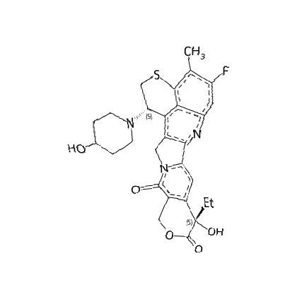 CC[C@@]1(O)C(=O)OCc2c1cc1n(c2=O)Cc2c-1nc1cc(F)c(C)c3c1c2[C@H](N1CCC(O)CC1)CS3